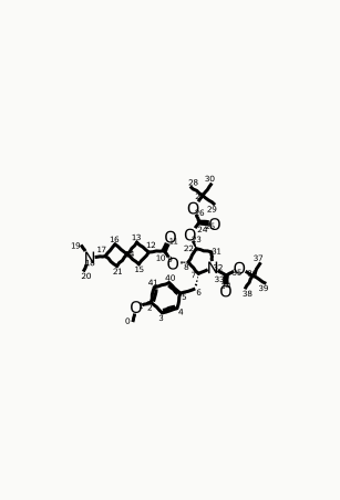 COc1ccc(C[C@@H]2[C@H](OC(=O)C3CC4(C3)CC(N(C)C)C4)[C@@H](OC(=O)OC(C)(C)C)CN2C(=O)OC(C)(C)C)cc1